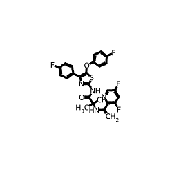 C=C(NC(C)(C)C(=O)Nc1nc(-c2ccc(F)cc2)c(Oc2ccc(F)cc2)s1)c1ncc(F)cc1F